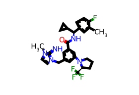 Cc1cc([C@@H](NC(=O)c2cc(Cn3ccn(C)c3=N)cc(N3CCC[C@H]3C(F)(F)F)c2)C2CC2)ccc1F